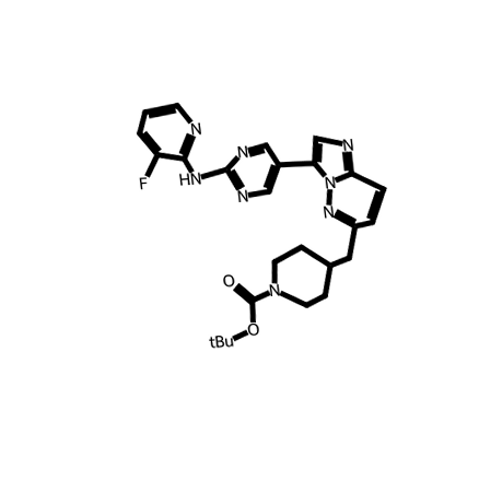 CC(C)(C)OC(=O)N1CCC(Cc2ccc3ncc(-c4cnc(Nc5ncccc5F)nc4)n3n2)CC1